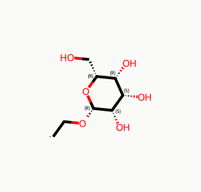 [CH2]CO[C@@H]1O[C@H](CO)[C@H](O)[C@H](O)[C@@H]1O